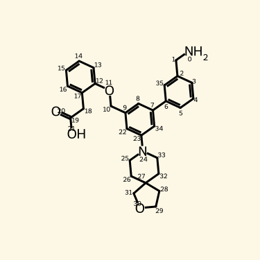 NCc1cccc(-c2cc(COc3ccccc3CC(=O)O)cc(N3CCC4(CCOC4)CC3)c2)c1